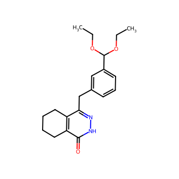 CCOC(OCC)c1cccc(Cc2n[nH]c(=O)c3c2CCCC3)c1